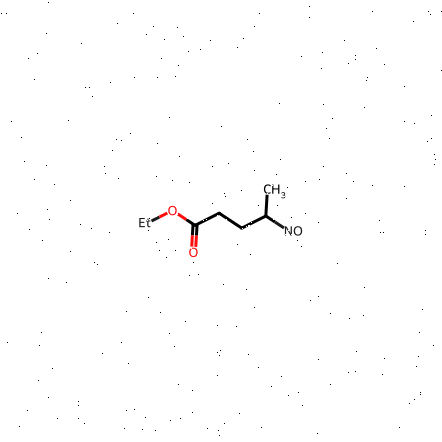 CCOC(=O)CCC(C)N=O